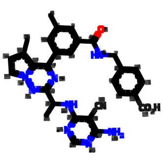 Cc1cc(C(=O)NCc2ccc(C(=O)O)cc2)cc(-c2nc(C(C)Nc3ncnc(N)c3C#N)nn3ccc(C)c23)c1